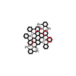 CC(C)c1cccc(C(C)C)c1N1C(=O)c2cc(Oc3ccccc3-c3ccccn3)c3c4c(Oc5ccccc5-c5ccccn5)cc5c6c(cc(Oc7ccccc7-c7ccccn7)c(c7c(Oc8ccccc8-c8ccccn8)cc(c2c37)C1=O)c64)C(=O)N(c1c(C(C)C)cccc1C(C)C)C5=O